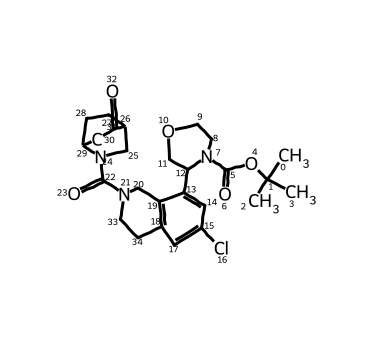 CC(C)(C)OC(=O)N1CCOCC1c1cc(Cl)cc2c1CN(C(=O)N1CC3CCC1CC3=O)CC2